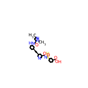 Cc1cc(C(=O)Nc2cccc(C#Cc3cncc(C(=O)/N=[SH](=O)/c4cccc(C(=O)O)c4)c3)c2)n(C)n1